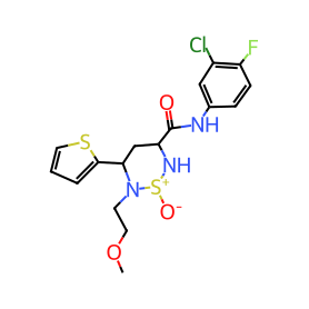 COCCN1C(c2cccs2)CC(C(=O)Nc2ccc(F)c(Cl)c2)N[S+]1[O-]